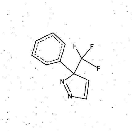 FC(F)(F)C1(c2ccccc2)C=CN=N1